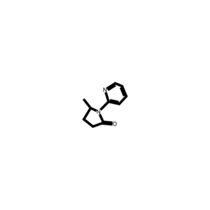 CC1CCC(=O)N1c1ccccn1